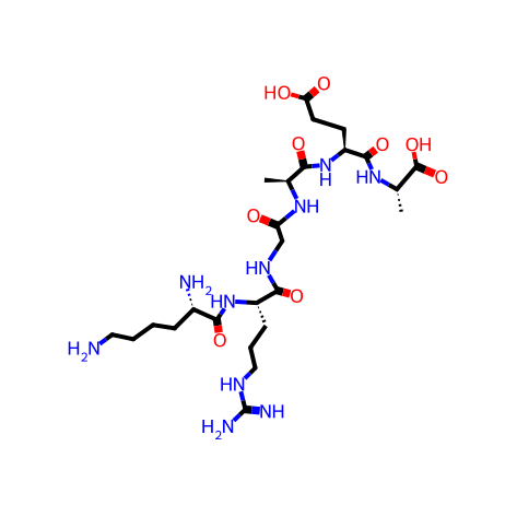 C[C@H](NC(=O)[C@H](CCC(=O)O)NC(=O)[C@H](C)NC(=O)CNC(=O)[C@H](CCCNC(=N)N)NC(=O)[C@@H](N)CCCCN)C(=O)O